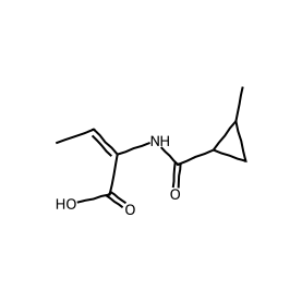 C/C=C(/NC(=O)C1CC1C)C(=O)O